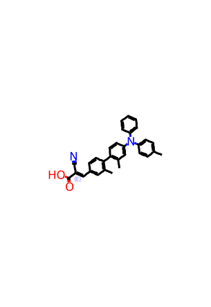 Cc1ccc(N(c2ccccc2)c2ccc(-c3ccc(/C=C(\C#N)C(=O)O)cc3C)c(C)c2)cc1